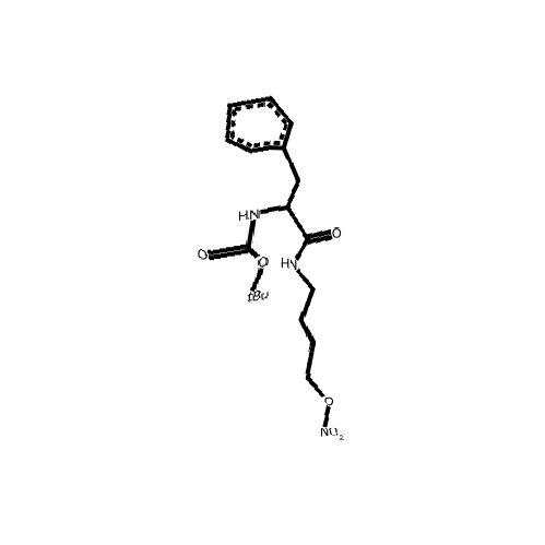 CC(C)(C)OC(=O)NC(Cc1ccccc1)C(=O)NCCCCO[N+](=O)[O-]